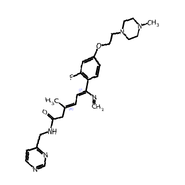 C=N/C(=C\C=C(/C)CC(=O)NCc1ccncn1)c1ccc(OCCN2CCN(C)CC2)cc1F